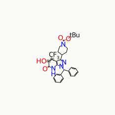 CC(C)(C)OC(=O)N1CCC(c2nn(C(c3ccccc3)c3ccccc3)c3c2[C@@H](C(F)(F)F)[C@@H](O)C(=O)N3)CC1